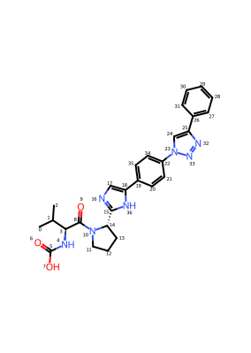 CC(C)[C@H](NC(=O)O)C(=O)N1CCC[C@H]1c1ncc(-c2ccc(-n3cc(-c4ccccc4)nn3)cc2)[nH]1